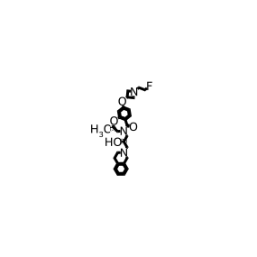 C[C@H]1CN(C[C@H](O)CN2CCc3ccccc3C2)C(=O)c2ccc(OC3CN(CCF)C3)cc2O1